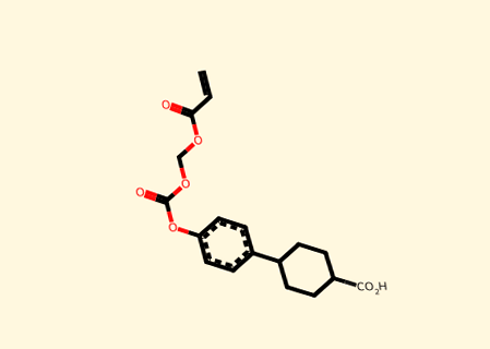 C=CC(=O)OCOC(=O)Oc1ccc(C2CCC(C(=O)O)CC2)cc1